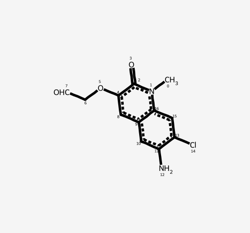 Cn1c(=O)c(OCC=O)cc2cc(N)c(Cl)cc21